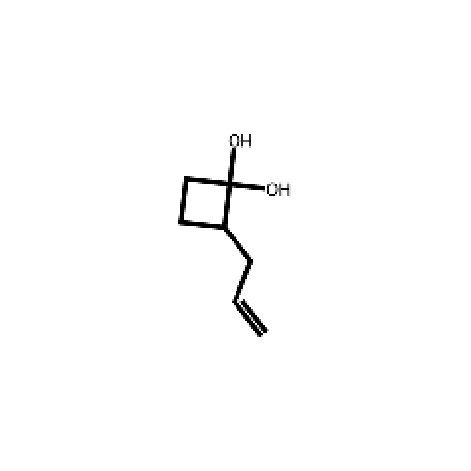 C=CCC1CCC1(O)O